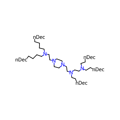 CCCCCCCCCCCCCCN(CCCCCCCCCCCCCC)CCN1CCN(CCN(CCCCCCCCCCCC)CCN(CCCCCCCCCCCC)CCCCCCCCCCCC)CC1